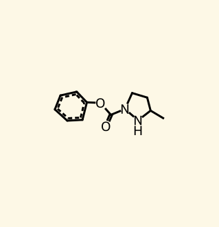 CC1CCN(C(=O)Oc2ccccc2)N1